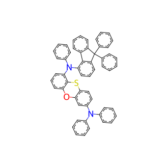 c1ccc(N(c2ccccc2)c2ccc3c(c2)Oc2cccc(N(c4ccccc4)c4cccc5c4-c4ccccc4C5(c4ccccc4)c4ccccc4)c2S3)cc1